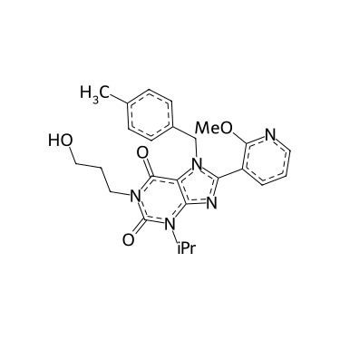 COc1ncccc1-c1nc2c(c(=O)n(CCCO)c(=O)n2C(C)C)n1Cc1ccc(C)cc1